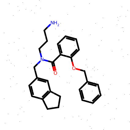 NCCCN(Cc1ccc2c(c1)CCC2)C(=O)c1ccccc1OCc1ccccc1